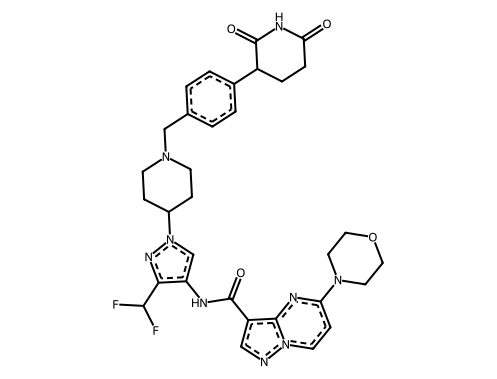 O=C1CCC(c2ccc(CN3CCC(n4cc(NC(=O)c5cnn6ccc(N7CCOCC7)nc56)c(C(F)F)n4)CC3)cc2)C(=O)N1